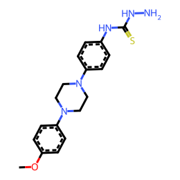 COc1ccc(N2CCN(c3ccc(NC(=S)NN)cc3)CC2)cc1